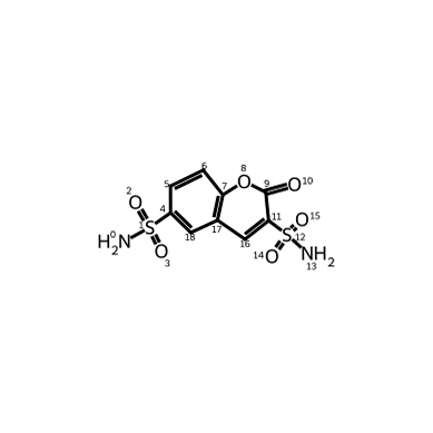 NS(=O)(=O)c1ccc2oc(=O)c(S(N)(=O)=O)cc2c1